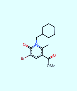 COC(=O)c1cc(Br)c(=O)n(CC2CCCCC2)c1C